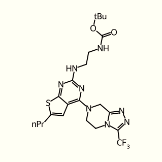 CCCc1cc2c(N3CCn4c(nnc4C(F)(F)F)C3)nc(NCCNC(=O)OC(C)(C)C)nc2s1